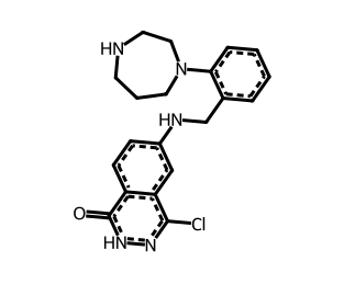 O=c1[nH]nc(Cl)c2cc(NCc3ccccc3N3CCCNCC3)ccc12